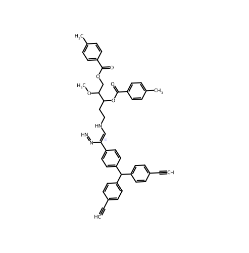 C#Cc1ccc(C(c2ccc(C#C)cc2)c2ccc(/C(=C/NCCC(OC(=O)c3ccc(C)cc3)C(COC(=O)c3ccc(C)cc3)OC)N=N)cc2)cc1